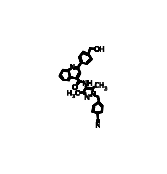 Cc1nn(Cc2ccc(C#N)cc2)c(C)c1NC(=O)c1cc(-c2ccc(CO)cc2)nc2ccccc12